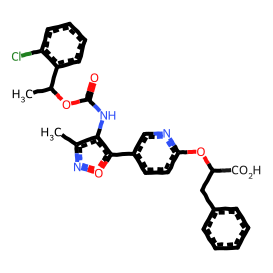 Cc1noc(-c2ccc(OC(Cc3ccccc3)C(=O)O)nc2)c1NC(=O)OC(C)c1ccccc1Cl